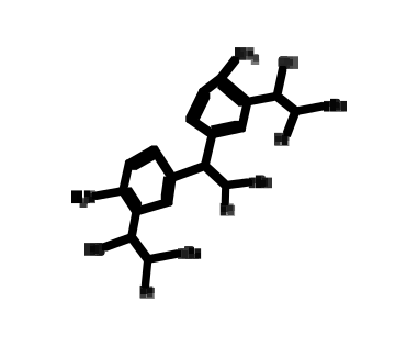 CCCCC(CC)C(O)c1cc(C(c2ccc(N)c(C(O)C(CC)CCCC)c2)C(CC)CCCC)ccc1N